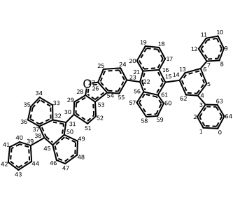 c1ccc(-c2cc(-c3ccccc3)cc(-c3c4ccccc4c(-c4ccc5oc6cc(-c7c8ccccc8c(-c8ccccc8)c8ccccc78)ccc6c5c4)c4ccccc34)c2)cc1